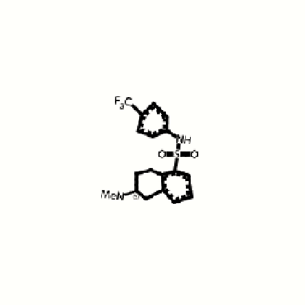 CN[C@H]1CCc2c(cccc2S(=O)(=O)Nc2ccc(C(F)(F)F)cc2)C1